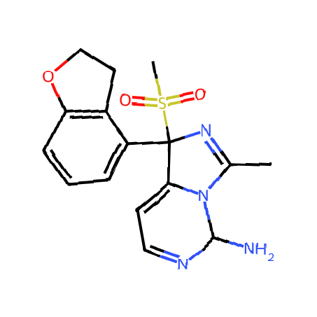 CC1=NC(c2cccc3c2CCO3)(S(C)(=O)=O)C2=CC=NC(N)N21